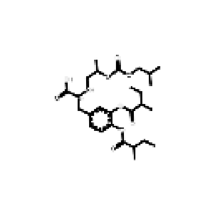 CCC(C)C(=O)Oc1ccc(C[C@H](NCC(C)OC(=O)OCC(C)C)C(=O)O)cc1OC(=O)C(C)CC